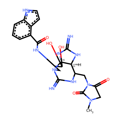 CN1CC(=O)N(CC2NC(=N)N3CC(NC(=O)c4cccc5[nH]ccc45)C(O)(O)[C@@]34NC(=N)N[C@@H]24)C1=O